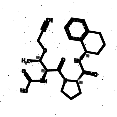 C#CCO[C@H](C)[C@H](NC(=O)O)C(=O)N1CCC[C@H]1C(=O)N[C@@H]1CCCc2ccccc21